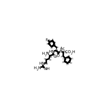 CC(=O)N(C(=O)[C@H](Cc1ccc(F)cc1)NC(=O)[C@@H](N)CCCNC(=N)N)[C@@H](Cc1ccccc1)C(=O)O